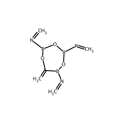 C=NB1OB(N=C)OC(=C)B(N=C)O1